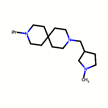 CC(C)N1CCC2(CCN(CC3CCN(C)C3)CC2)CC1